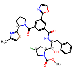 Cc1csc([C@H]2CCCN2C(=O)c2cc(C(=O)N[C@@H](Cc3ccccc3)[C@H](O)[C@H]3C[C@H](F)CN3C(=O)OC(C)(C)C)cc(-c3ncco3)c2)n1